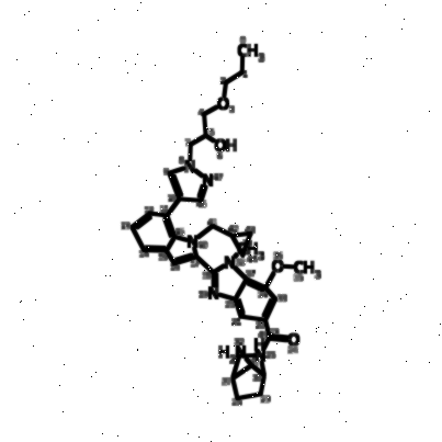 CCCOCC(O)Cn1cc(-c2cccc3cc(-c4nc5cc(C(=O)N6CC7CCC6[C@@H]7N)cc(OC)c5n4C)n(CC4CC4)c23)cn1